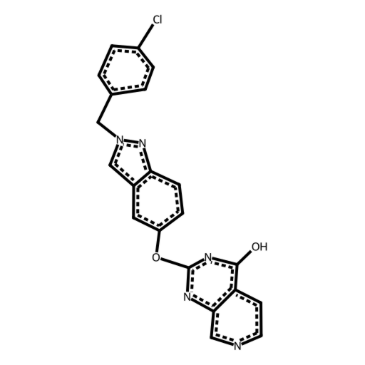 Oc1nc(Oc2ccc3nn(Cc4ccc(Cl)cc4)cc3c2)nc2cnccc12